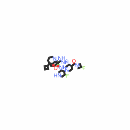 CC1C(C(C(=O)NC2CNCC(F)C2N2CCC(C(=O)N3CC(F)C3)CC2)C(N)N)N2CCCC1(C1CCC1)CCC(F)C2